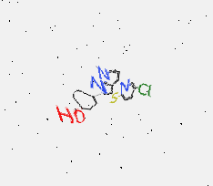 Cn1cccc2c(Sc3ccc(Cl)cn3)c([C@H]3CC[C@@H](O)CC3)nc1-2